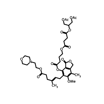 COc1c(C)c2c(c(OC(=O)CCCOC(=O)CCC(=O)OC(COC(C)=O)COC(C)=O)c1C/C=C(\C)CCC(=O)OCCN1CCOCC1)C(=O)OC2